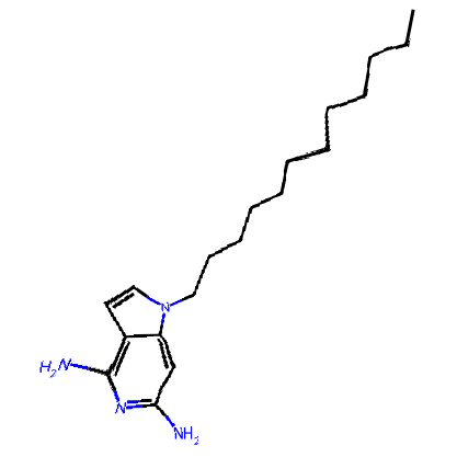 CCCCCCCCCCCCn1ccc2c(N)nc(N)cc21